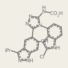 CC(C)c1n[nH]c2cc(O)c(-c3nnc(NC(=O)O)n3-c3cccc4[nH]c(Cl)cc34)cc12